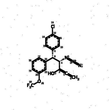 C=C=C(O)[C@@H](N=[N+]=[N-])[C@@H](c1ccc(Cl)cc1)c1cccc(OC(F)(F)F)c1